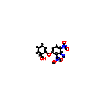 O=[N+]([O-])c1ccc(Oc2ccccc2O)c2c1no[n+]2[O-]